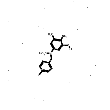 CCSc1cc(N(Cc2ccc(F)cc2)C(=O)O)cc(C)c1[N+](=O)[O-]